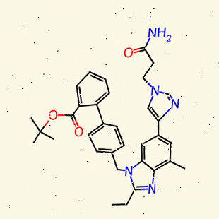 CCc1nc2c(C)cc(-c3cn(CCC(N)=O)cn3)cc2n1Cc1ccc(-c2ccccc2C(=O)OC(C)(C)C)cc1